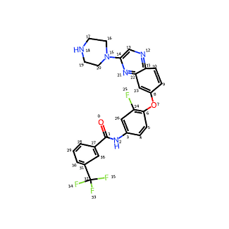 O=C(Nc1ccc(Oc2ccc3ncc(N4CCNCC4)nc3c2)c(F)c1)c1cccc(C(F)(F)F)c1